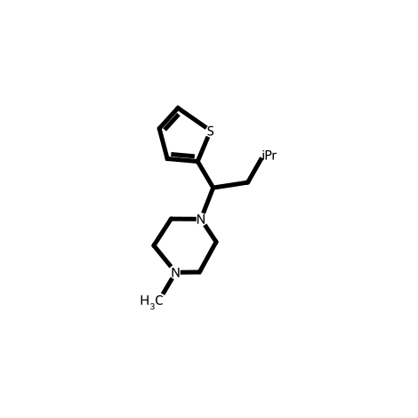 CC(C)CC(c1cccs1)N1CCN(C)CC1